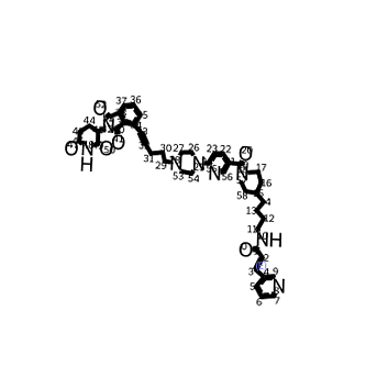 O=C(/C=C/c1cccnc1)NCCCCC1CCN(C(=O)c2ccc(N3CCN(CCCC#Cc4cccc5c4C(=O)N(C4CCC(=O)NC4=O)C5=O)CC3)nc2)CC1